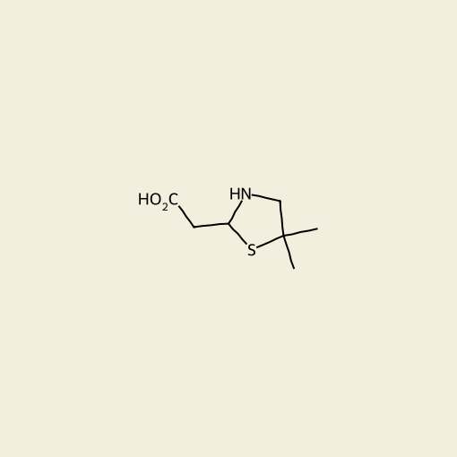 CC1(C)CNC(CC(=O)O)S1